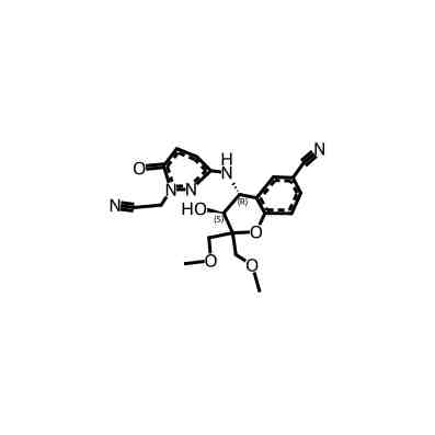 COCC1(COC)Oc2ccc(C#N)cc2[C@@H](Nc2ccc(=O)n(CC#N)n2)[C@@H]1O